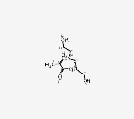 C=C(C)C(=O)Cl.OCCSSCCO